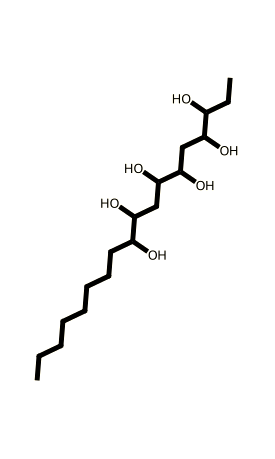 CCCCCCCCC(O)C(O)CC(O)C(O)CC(O)C(O)CC